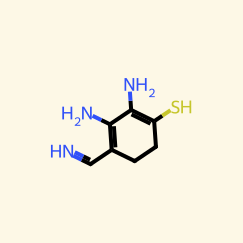 N=CC1=C(N)C(N)=C(S)CC1